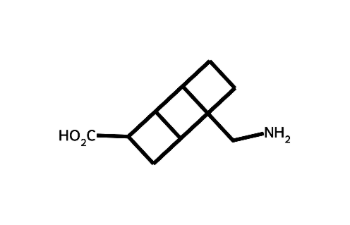 NCC12C3C4C1C1C2C3C41C(=O)O